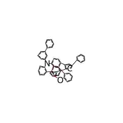 c1ccc(-c2cccc(N(c3ccc4c(c3)C3(c5ccccc5Oc5ccccc53)c3ccc(-c5ccccc5)cc3-4)c3ccccc3-c3ccccc3)c2)cc1